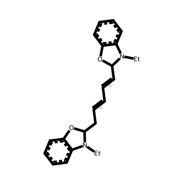 CCN1c2ccccc2OC1/C=C/C=C/CC1Oc2ccccc2N1CC